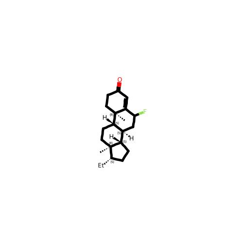 CC[C@H]1CC[C@H]2[C@@H]3CC(F)C4=CC(=O)CC[C@]4(C)[C@H]3CC[C@]12C